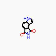 O=C1NC(=O)c2c1ccc1[nH]ccc21